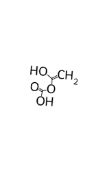 C=C(O)OC(=O)O